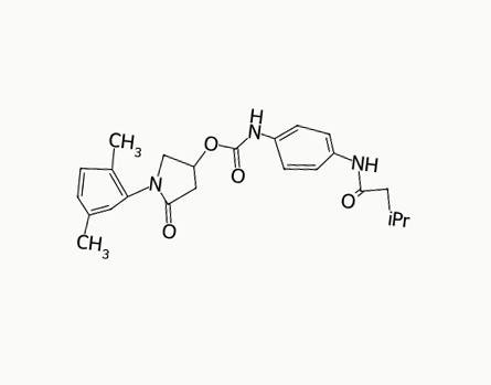 Cc1ccc(C)c(N2CC(OC(=O)Nc3ccc(NC(=O)CC(C)C)cc3)CC2=O)c1